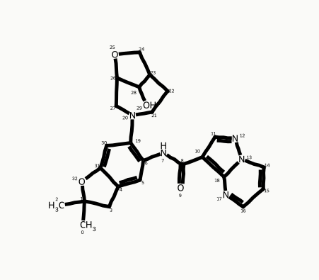 CC1(C)Cc2cc(NC(=O)c3cnn4cccnc34)c(N3CCC4COC(C3)C4O)cc2O1